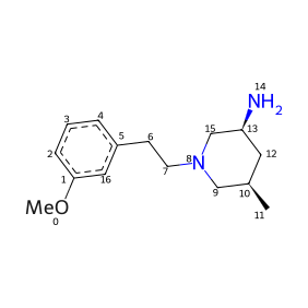 COc1cccc(CCN2C[C@H](C)C[C@H](N)C2)c1